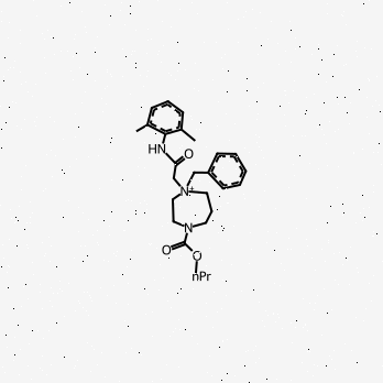 CCCOC(=O)N1CCC[N+](CC(=O)Nc2c(C)cccc2C)(Cc2ccccc2)CC1